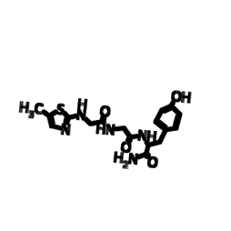 Cc1cnc(NCC(=O)NCC(=O)NC(Cc2ccc(O)cc2)C(N)=O)s1